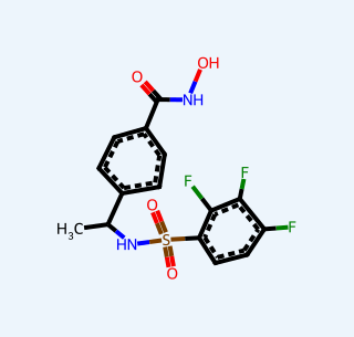 CC(NS(=O)(=O)c1ccc(F)c(F)c1F)c1ccc(C(=O)NO)cc1